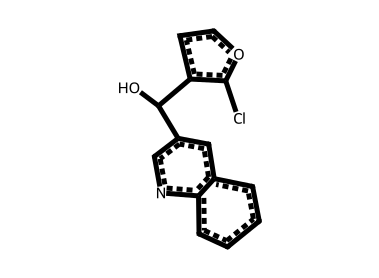 OC(c1cnc2ccccc2c1)c1ccoc1Cl